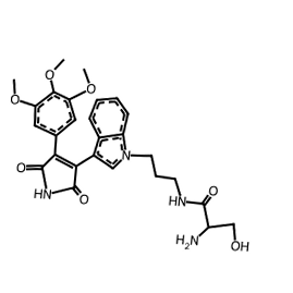 COc1cc(C2=C(c3cn(CCCNC(=O)C(N)CO)c4ccccc34)C(=O)NC2=O)cc(OC)c1OC